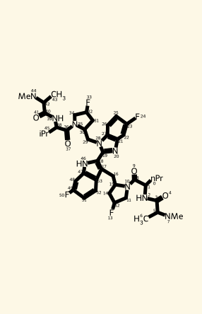 CCCC(NC(=O)C(C)NC)C(=O)N1CC(F)CC1Cc1c(-c2nc3cc(F)ccc3n2CC2CC(F)CN2C(=O)C(NC(=O)C(C)NC)C(C)C)[nH]c2cc(F)ccc12